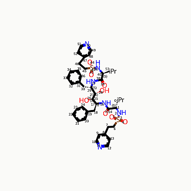 CC(C)[C@H](NS(=O)(=O)CCc1ccncc1)C(=O)N[C@@H](Cc1ccccc1)[C@H](O)[C@@H](O)[C@H](Cc1ccccc1)NC(=O)[C@@H](NS(=O)(=O)CCc1ccncc1)C(C)C